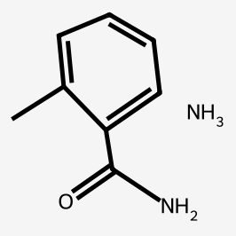 Cc1ccccc1C(N)=O.N